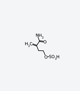 C=C(CCOS(=O)(=O)O)C(N)=O